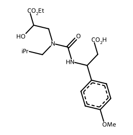 CCOC(=O)C(O)CN(CC(C)C)C(=O)NC(CC(=O)O)c1ccc(OC)cc1